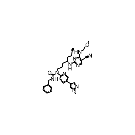 C#CCCC(CCCN(C(=O)NCc1ccccc1)c1ccc(-c2cnn(C)c2)cn1)Nc1ncc(C#N)c(NCCOC)n1